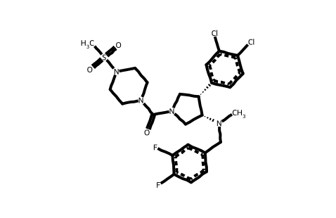 CN(Cc1ccc(F)c(F)c1)[C@@H]1CN(C(=O)N2CCN(S(C)(=O)=O)CC2)C[C@@H]1c1ccc(Cl)c(Cl)c1